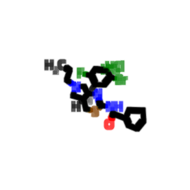 C=CCN1C[C@H]2CSC(NC(=O)c3ccccc3)=N[C@@]2(c2cc(Br)ccc2F)C1.Cl.Cl